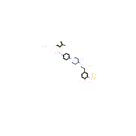 Cc1csc(C(=O)O)c1S(=O)(=O)Nc1ccc(N2CCC(NC[C@H](O)c3ccc(O)c(NS(C)(=O)=O)c3)CC2)cc1